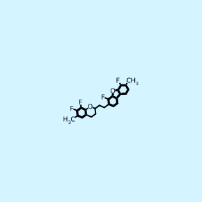 Cc1cc2c(c(F)c1F)OC(CCc1ccc3c(oc4c(F)c(C)ccc43)c1F)CC2